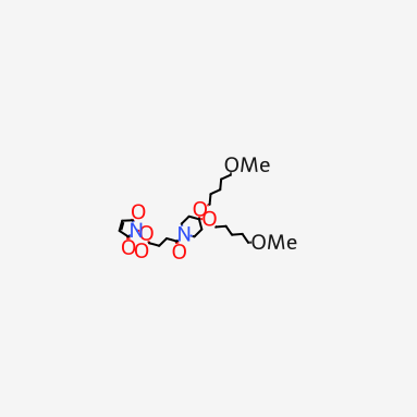 COCCCCCOC1(OCCCCCOC)CCN(C(=O)CCC(=O)ON2C(=O)C=CC2=O)CC1